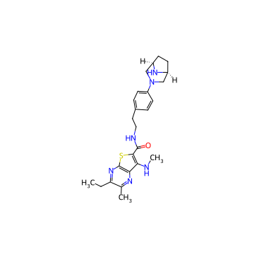 CCc1nc2sc(C(=O)NCCc3ccc(N4C[C@H]5CC[C@@H](C4)N5)cc3)c(NC)c2nc1C